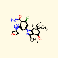 Cc1nn(-c2cc(F)c(C(N)=O)c(NC3CCOC3)c2)c2c1C(=O)CC(C)(C)C2